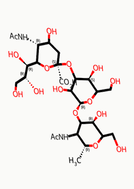 CC(=O)NC1C(O[C@@H]2OC(CO)[C@H](O)C(O[C@]3(C(=O)O)CC(O)[C@@H](NC(C)=O)C([C@H](O)[C@H](O)CO)O3)C2O)[C@@H](O)C(CO)O[C@@H]1C